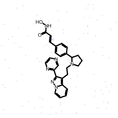 O=C(/C=C/c1ccc(C2CCCN2CCc2c(-c3cnccn3)nn3ccccc23)cc1)NO